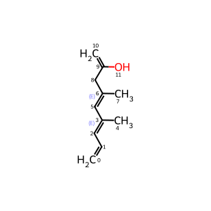 C=C/C=C(C)/C=C(\C)CC(=C)O